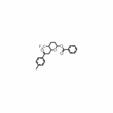 O=C(CC1OC(OC(=O)c2ccccc2)CCC1C(F)(F)F)c1ccc(I)cc1